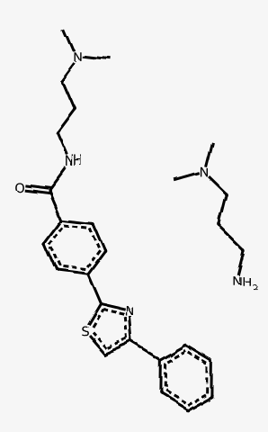 CN(C)CCCN.CN(C)CCCNC(=O)c1ccc(-c2nc(-c3ccccc3)cs2)cc1